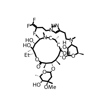 CC[C@H]1OC(=O)[C@H](C)[C@@H](O[C@H]2C[C@@](C)(OC)[C@@H](O)[C@H](C)O2)[C@H](C)[C@@H](O[C@@H]2O[C@H](C)C[C@H](N(C)CCc3cn(CCC(F)=C(F)F)nn3)[C@H]2O)[C@](C)(O)C[C@@H](C)CN(C)[C@H](C)[C@@H](O)[C@]1(C)O